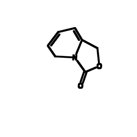 O=C1OCC2=CC=CCN12